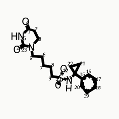 O=C1CCN(CCCCCS(=O)(=O)NC2(c3ccccc3)CC2)C(=O)N1